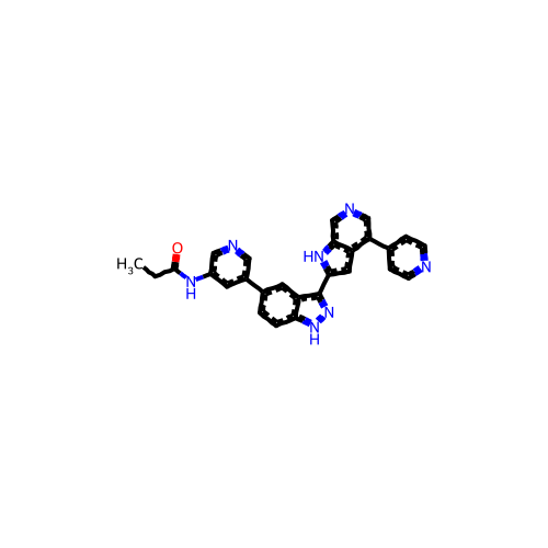 CCC(=O)Nc1cncc(-c2ccc3[nH]nc(-c4cc5c(-c6ccncc6)cncc5[nH]4)c3c2)c1